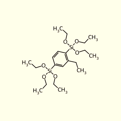 CCO[Si](OCC)(OCC)c1ccc([Si](OCC)(OCC)OCC)c(CC)c1